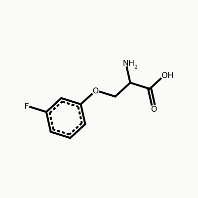 NC(COc1cccc(F)c1)C(=O)O